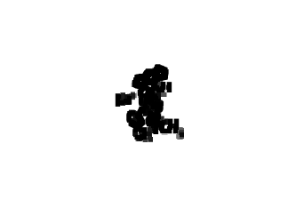 Cn1cc(N(C[C@H]2C[C@@H](O)CO2)S(=O)(=O)[N-]C(=O)Nc2c3c(cc4c2CCC4)CCC3)cn1.[Na+]